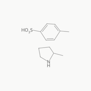 CC1CCCN1.Cc1ccc(S(=O)(=O)O)cc1